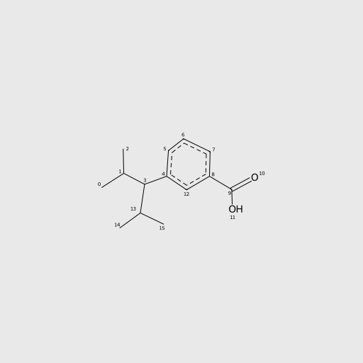 CC(C)C(c1cccc(C(=O)O)c1)C(C)C